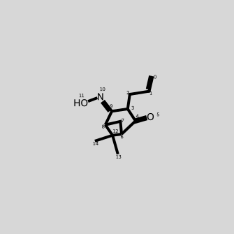 C=CCC1C(=O)C2CC(C1=NO)C2(C)C